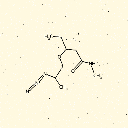 CCC(CC(=O)NC)OCC(C)N=[N+]=[N-]